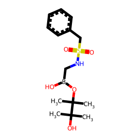 CC(C)(O)C(C)(C)OB(O)CNS(=O)(=O)Cc1ccccc1